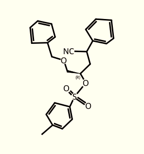 Cc1ccc(S(=O)(=O)O[C@@H](COCc2ccccc2)CC(C#N)c2ccccc2)cc1